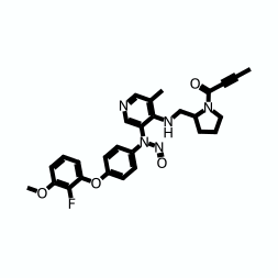 CC#CC(=O)N1CCCC1CNc1c(C)cncc1N(N=O)c1ccc(Oc2cccc(OC)c2F)cc1